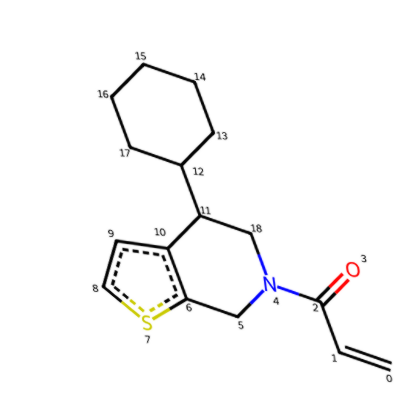 C=CC(=O)N1Cc2sccc2C(C2CCCCC2)C1